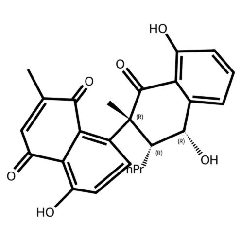 CCC[C@H]1[C@@H](O)c2cccc(O)c2C(=O)[C@@]1(C)c1ccc(O)c2c1C(=O)C(C)=CC2=O